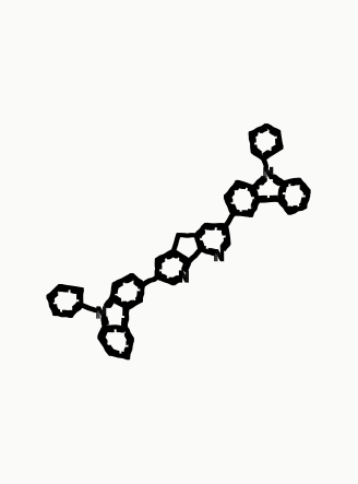 c1ccc(-n2c3ccccc3c3cc(-c4cnc5c(c4)Cc4cc(-c6ccc7c(c6)c6ccccc6n7-c6ccccc6)cnc4-5)ccc32)cc1